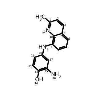 Cc1ccc2cccc(Nc3ccc(O)c(N)c3)c2n1